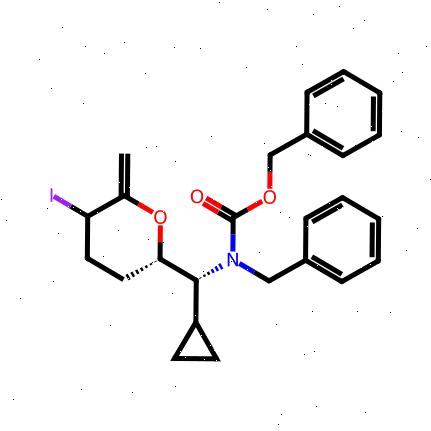 C=C1O[C@H]([C@@H](C2CC2)N(Cc2ccccc2)C(=O)OCc2ccccc2)CCC1I